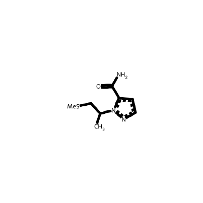 CSCC(C)n1nccc1C(N)=O